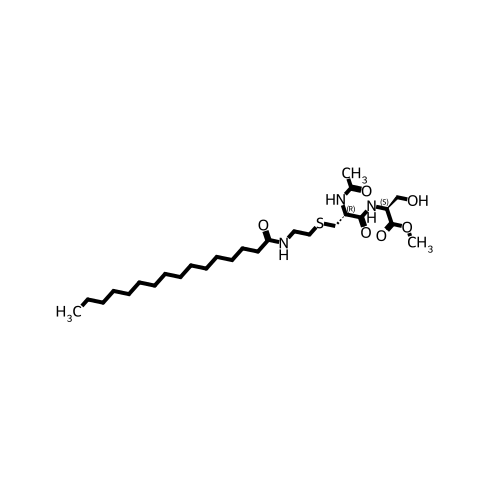 CCCCCCCCCCCCCCCC(=O)NCCSC[C@H](NC(C)=O)C(=O)N[C@@H](CO)C(=O)OC